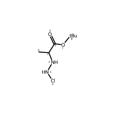 CC(NNCl)C(=O)OC(C)(C)C